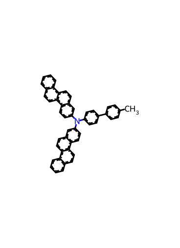 Cc1ccc(-c2ccc(N(c3ccc4c(ccc5c6ccccc6ccc45)c3)c3ccc4c(ccc5c6ccccc6ccc45)c3)cc2)cc1